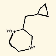 C1CNC(CC2CC2)CN1